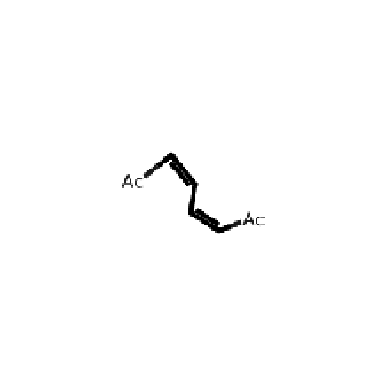 CC(=O)/C=C\C=C/C(C)=O